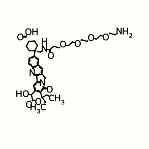 CCC1(CC)OC(=O)[C@@H](O)c2cc3n(c(=O)c21)Cc1cc2cc([C@]4(CNC(=O)CCOCCOCCOCCOCCN)CC[C@H](C(=O)O)CC4)ccc2nc1-3